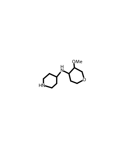 COC1COCCC1NC1CCNCC1